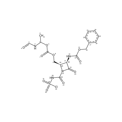 CC(NC=O)OC(=O)OC[C@H]1[C@@H](NC(=O)OCc2ccccc2)C(=O)N1C(=O)NS(=O)(=O)Cl